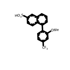 COc1cc(C(F)(F)F)ccc1-c1cccc2cc(S(=O)(=O)O)ccc12